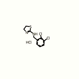 Cl.Clc1cccc(CNC2=NCCS2)c1Cl